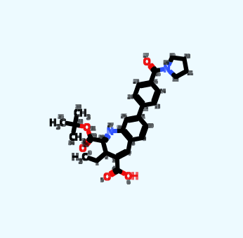 CCC1C(C(=O)O)=Cc2ccc(-c3ccc(C(=O)N4CCCC4)cc3)cc2N=C1C(=O)OC(C)(C)C